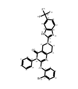 O=c1c2c(nc(Oc3ccccc3Br)n1-c1ccccc1)CCN(c1nc3ccc(C(F)(F)F)cc3[nH]1)C2